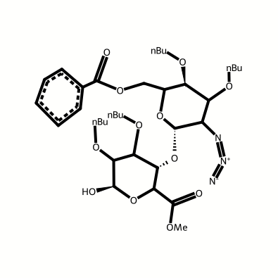 CCCCOC1C(N=[N+]=[N-])[C@H](O[C@@H]2C(C(=O)OC)O[C@@H](O)C(OCCCC)C2OCCCC)OC(COC(=O)c2ccccc2)[C@H]1OCCCC